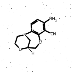 N#Cc1c(N)ccc2c1OC[C@@H]1CN2CCO1